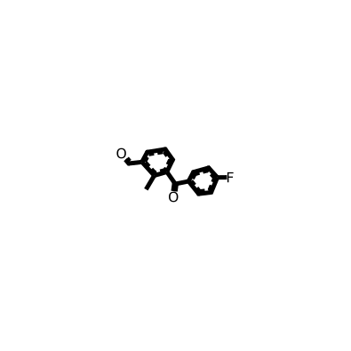 Cc1c(C=O)cccc1C(=O)c1ccc(F)cc1